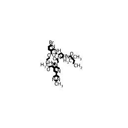 C=CCC(C)(C)C(=O)NC[C@H]1C[C@@H](C(=O)Nc2nc(Br)ccc2COCCC)N(C(=O)Cn2nc(C(C)=O)c3cc(-c4cnc(C)nc4)ncc32)C1